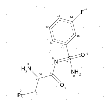 CC(C)C[C@H](N)C(=O)N=S(N)(=O)c1cccc(F)c1